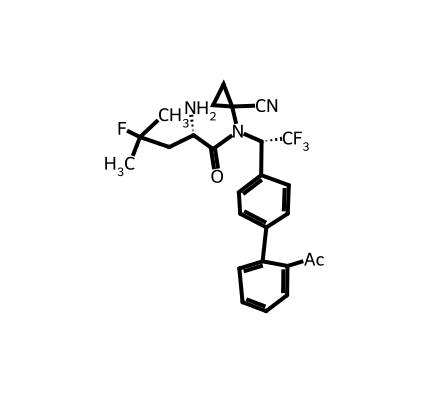 CC(=O)c1ccccc1-c1ccc([C@H](N(C(=O)[C@@H](N)CC(C)(C)F)C2(C#N)CC2)C(F)(F)F)cc1